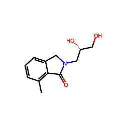 Cc1cccc2c1C(=O)N(C[C@H](O)CO)C2